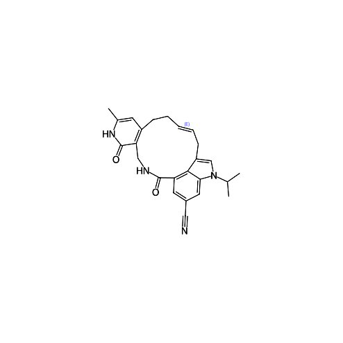 Cc1cc2c(c(=O)[nH]1)CNC(=O)c1cc(C#N)cc3c1c(cn3C(C)C)C/C=C/CC2